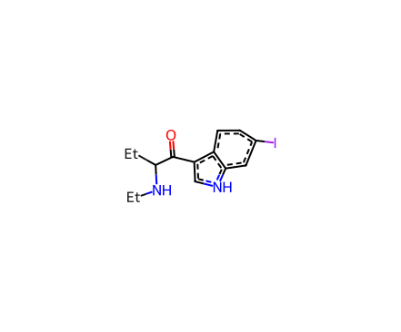 CCNC(CC)C(=O)c1c[nH]c2cc(I)ccc12